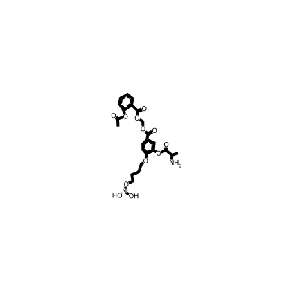 CC(=O)Oc1ccccc1C(=O)OCOC(=O)c1ccc(OCCCCON(O)O)c(OC(=O)C(C)N)c1